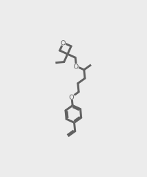 C=Cc1ccc(OCCCC(C)OCC2(CC)COC2)cc1